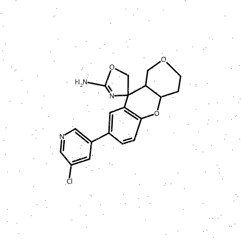 NC1=NC2(CO1)c1cc(-c3cncc(Cl)c3)ccc1OC1CCOCC12